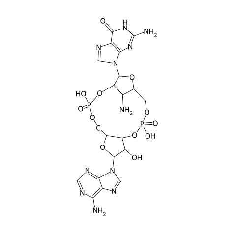 Nc1nc2c(ncn2C2OC3COP(=O)(O)OC4C(COP(=O)(O)OC2C3N)OC(n2cnc3c(N)ncnc32)C4O)c(=O)[nH]1